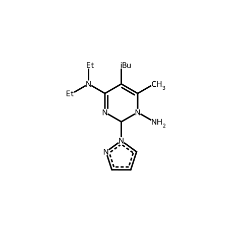 CCC(C)C1=C(C)N(N)C(n2cccn2)N=C1N(CC)CC